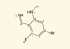 CNc1cc(Br)cc(F)c1C=N